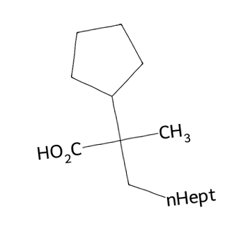 CCCCCCCCC(C)(C(=O)O)C1CCCC1